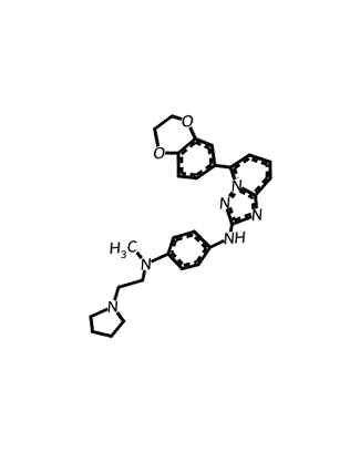 CN(CCN1CCCC1)c1ccc(Nc2nc3cccc(-c4ccc5c(c4)OCCO5)n3n2)cc1